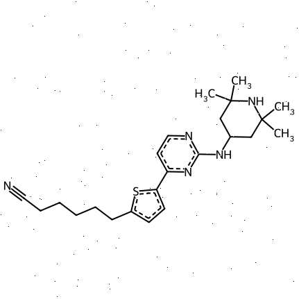 CC1(C)CC(Nc2nccc(-c3ccc(CCCCCC#N)s3)n2)CC(C)(C)N1